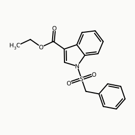 CCOC(=O)c1cn(S(=O)(=O)Cc2ccccc2)c2ccccc12